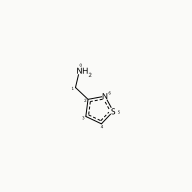 NCc1ccsn1